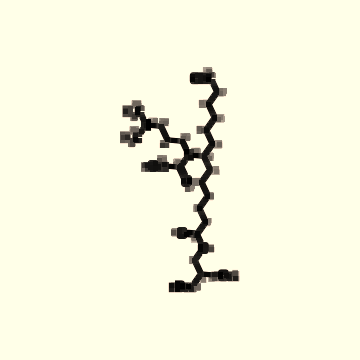 CCCCCCCCCCC(CCCCCCCC)COC(=O)CCCCCC(CCCCCC=O)N(CCCN(C)C)C(=O)CCCCCCCC